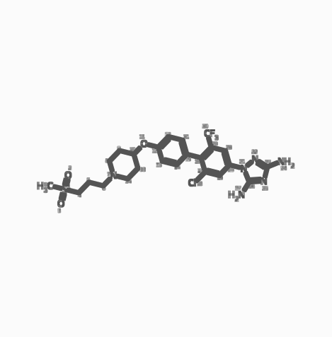 CS(=O)(=O)CCCN1CCC(Oc2ccc(-c3c(Cl)cc(-n4nc(N)nc4N)cc3C(F)(F)F)cc2)CC1